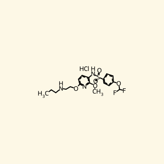 CCCNCCOc1ccc(NS(=O)(=O)c2ccc(OC(F)F)cc2)c(OC)n1.Cl